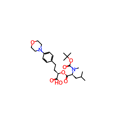 CC(C)C[C@@H](C(=O)O[C@H](CCc1ccc(N2CCOCC2)cc1)C(=O)O)N(C)C(=O)OC(C)(C)C